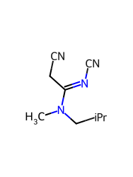 CC(C)CN(C)C(CC#N)=NC#N